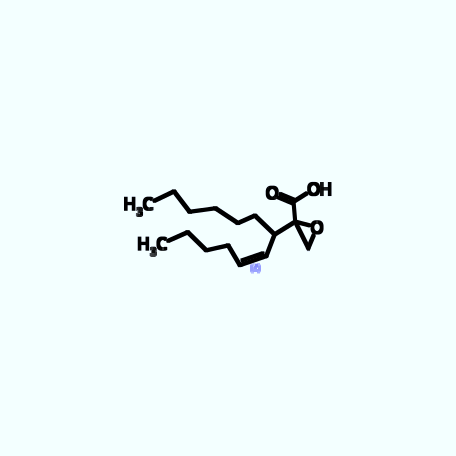 CCCC/C=C\C(CCCCCC)C1(C(=O)O)CO1